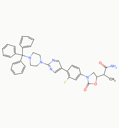 CC(C(N)=O)C1CN(c2ccc(-c3cnc(N4CCN(C(c5ccccc5)(c5ccccc5)c5ccccc5)CC4)nc3)c(F)c2)C(=O)O1